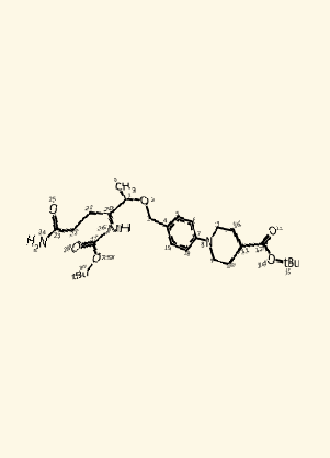 C[C@@H](OCc1ccc(N2CCC(C(=O)OC(C)(C)C)CC2)cc1)[C@H](CCC(N)=O)NC(=O)OC(C)(C)C